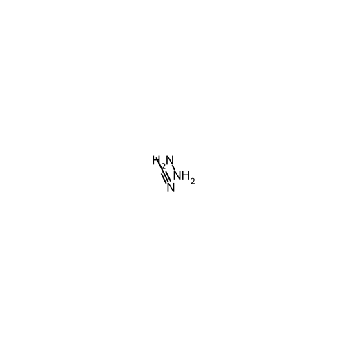 CC#N.NN